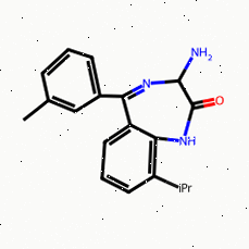 Cc1cccc(C2=NC(N)C(=O)Nc3c2cccc3C(C)C)c1